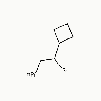 CCCCC([S])C1CCC1